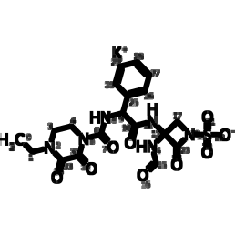 CCN1CCN(C(=O)NC(C(=O)NC2(NC=O)CN(S(=O)(=O)[O-])C2=O)c2ccccc2)C(=O)C1=O.[K+]